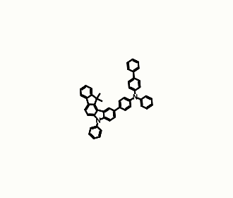 CC1(C)c2ccccc2-c2ccc3c(c21)c1cc(-c2ccc(N(c4ccccc4)c4ccc(-c5ccccc5)cc4)cc2)ccc1n3-c1ccccc1